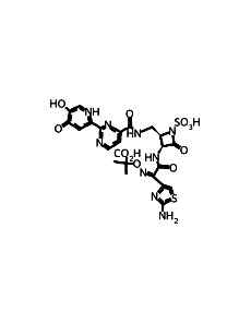 CC(C)(ON=C(C(=O)N[C@@H]1C(=O)N(S(=O)(=O)O)[C@@H]1CNC(=O)c1ccnc(-c2cc(=O)c(O)c[nH]2)n1)c1csc(N)n1)C(=O)O